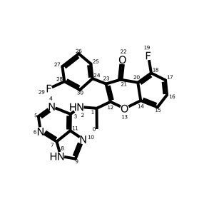 CC(Nc1ncnc2[nH]cnc12)c1oc2cccc(F)c2c(=O)c1-c1cccc(F)c1